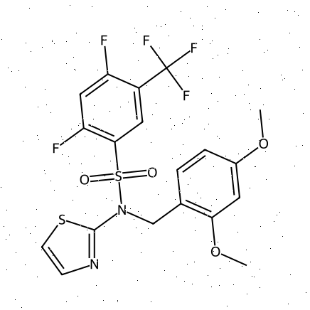 COc1ccc(CN(c2nccs2)S(=O)(=O)c2cc(C(F)(F)F)c(F)cc2F)c(OC)c1